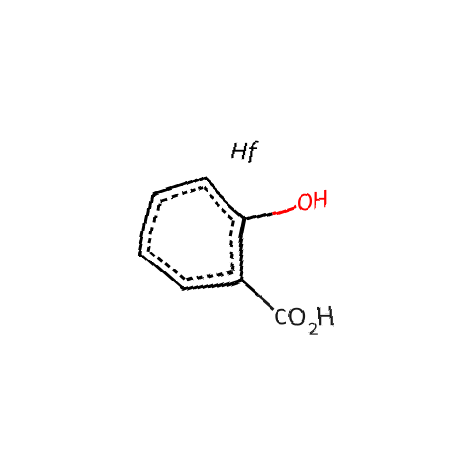 O=C(O)c1ccccc1O.[Hf]